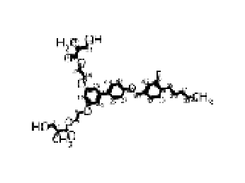 C=C(CO)C(=O)OCCOc1cc(OCCOC(=O)C(=C)CO)cc(-c2ccc(OCc3ccc(CCCCC)c(F)c3)cc2)c1